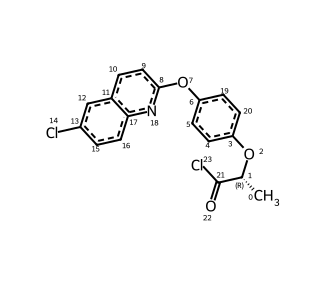 C[C@@H](Oc1ccc(Oc2ccc3cc(Cl)ccc3n2)cc1)C(=O)Cl